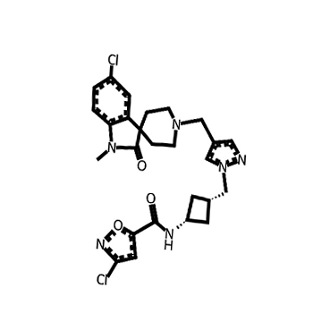 CN1C(=O)C2(CCN(Cc3cnn(C[C@H]4C[C@@H](NC(=O)c5cc(Cl)no5)C4)c3)CC2)c2cc(Cl)ccc21